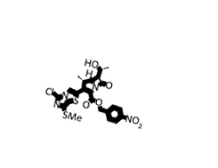 CSc1nc(Cl)n2cc(C3=C(C(=O)OCc4ccc([N+](=O)[O-])cc4)N4C(=O)[C@H]([C@@H](C)O)[C@H]4[C@H]3C)sc12